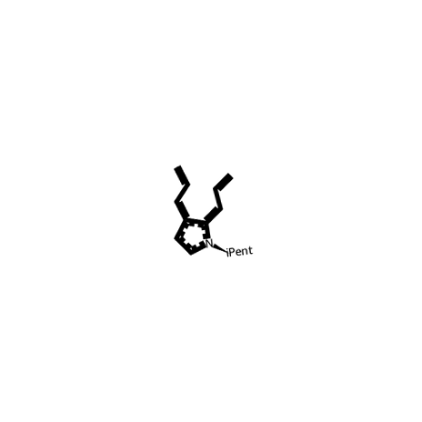 C=C/C=c1/ccn([C@H](C)CCC)/c1=C/C=C